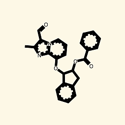 Cc1nc2c(OC3c4ccccc4CC3OC(=O)c3ccccc3)cccn2c1C=O